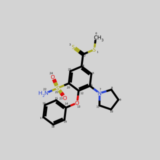 CSC(=S)c1cc(N2CCCC2)c(Oc2ccccc2)c(S(N)(=O)=O)c1